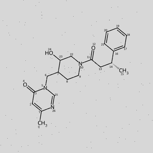 Cc1cc(=O)n(CC2CCN(C(=O)C[C@@H](C)c3ccccc3)CC2O)cn1